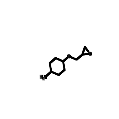 NC1CCC(OCC2CO2)CC1